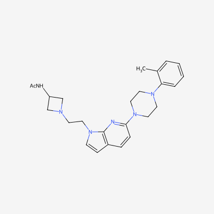 CC(=O)NC1CN(CCn2ccc3ccc(N4CCN(c5ccccc5C)CC4)nc32)C1